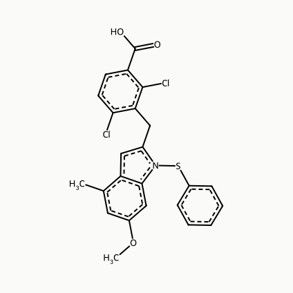 COc1cc(C)c2cc(Cc3c(Cl)ccc(C(=O)O)c3Cl)n(Sc3ccccc3)c2c1